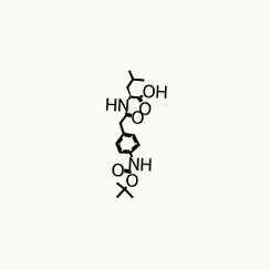 CC(C)C[C@H](NC(=O)Cc1ccc(NC(=O)OC(C)(C)C)cc1)C(=O)O